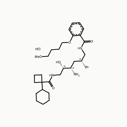 COCCCCOc1ccccc1C(=O)NC[C@@H](C[C@H](N)[C@@H](O)CNC(=O)C1(C2CCCCC2)CCC1)C(C)C.Cl